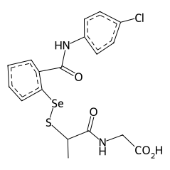 CC(S[Se]c1ccccc1C(=O)Nc1ccc(Cl)cc1)C(=O)NCC(=O)O